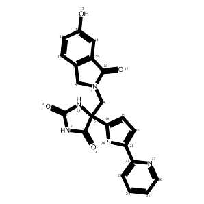 O=C1NC(=O)C(CN2Cc3ccc(O)cc3C2=O)(c2ccc(-c3ccccn3)s2)N1